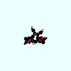 C=CC1=CCC(C2(C3CC(C)=CC=C3C)C3=C(C=CCC3)C3C=CC(N(C4=CC=C(C5CCC=C(C6=CCC(F)CC6)C5)CC4)C4=CC5c6cc(N(C7=CCC(c8cccc(-c9ccc(F)cc9)c8)C=C7)C7C=CC8=C(C7)C(C7=CC(C)=CCC7C)(c7ccc(C=C)cc7)C7C=CC=CC87)ccc6OC5CC4)=CC32)CC1